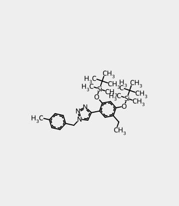 CCc1cc(-c2cn(Cc3ccc(C)cc3)nn2)c(O[Si](C)(C)C(C)(C)C)cc1O[Si](C)(C)C(C)(C)C